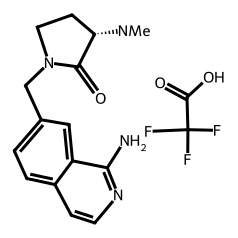 CN[C@H]1CCN(Cc2ccc3ccnc(N)c3c2)C1=O.O=C(O)C(F)(F)F